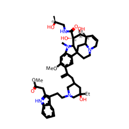 C=C(CC1CN(CCc2c(CC(=O)OC)[nH]c3ccccc23)CC(O)(CC)C1)c1cc2c(cc1OC)N(C)C1C23CCN2CC=C[C@](CC)(C2C3)[C@@H](O)[C@]1(O)C(=O)NC[C@H](C)O